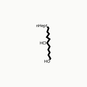 CCCCCCCCCCCCCCCCCCO.Cl